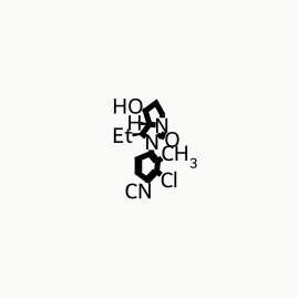 CC[C@H]1[C@@H]2[C@@H](O)CCN2C(=O)N1c1ccc(C#N)c(Cl)c1C